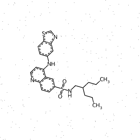 CCCC(CCC)CNS(=O)(=O)c1ccc2nccc(Nc3ccc4scnc4c3)c2c1